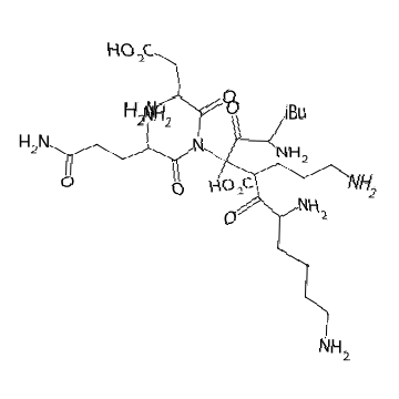 CCC(C)C(N)C(=O)C(C(=O)O)(C(CCCN)C(=O)C(N)CCCCN)N(C(=O)C(N)CCC(N)=O)C(=O)C(N)CC(=O)O